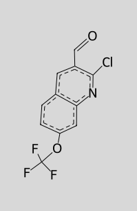 O=Cc1cc2ccc(OC(F)(F)F)cc2nc1Cl